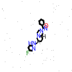 Fc1ccc(NC[C@@H]2CC[C@@H]3CN(c4noc5ccccc45)CCN3C2)nc1